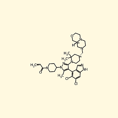 C=CC(=O)N1CCC(n2nc(N3CC[C@@H](CN4CCN5CCOC[C@H]5C4)CC3(C)C)c(-c3c(Cl)c(Cl)cc4[nH]ncc34)c2C)CC1